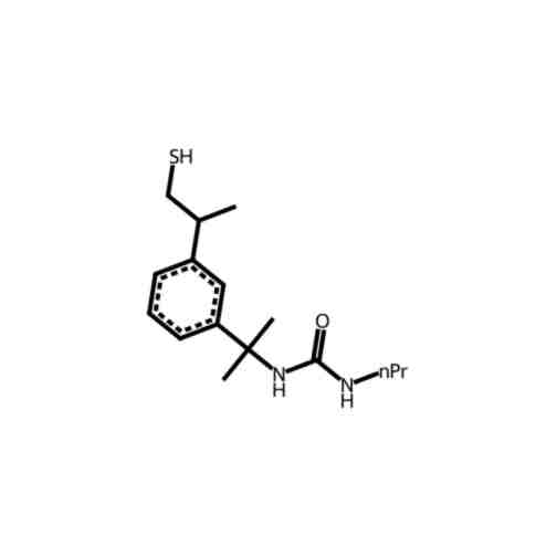 CCCNC(=O)NC(C)(C)c1cccc(C(C)CS)c1